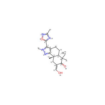 Cc1noc(-c2c3c(nn2C)[C@@]2(C)C/C(=C/O)C(=O)C(C)(C)[C@@H]2CC3)n1